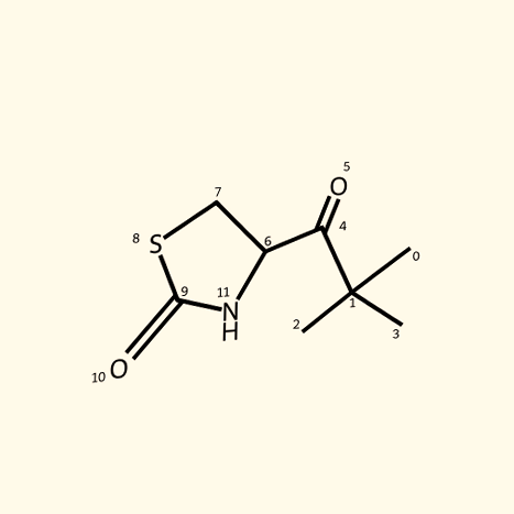 CC(C)(C)C(=O)C1CSC(=O)N1